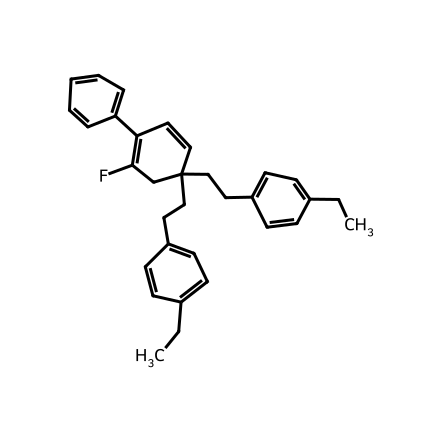 CCc1ccc(CCC2(CCc3ccc(CC)cc3)C=CC(c3ccccc3)=C(F)C2)cc1